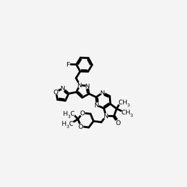 CC1(C)OCC(CN2C(=O)C(C)(C)c3cnc(-c4cc(-c5ccon5)n(Cc5ccccc5F)n4)nc32)CO1